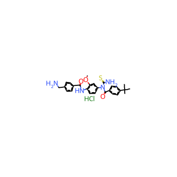 COc1cc(N(C(=O)c2ccc(C(C)(C)C)cc2)C(N)=S)ccc1NC(=O)c1ccc(CN)cc1.Cl